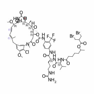 COc1cc2cc(c1Cl)N(C)C(=O)C[C@H](OC(=O)Nc1ccc(NC(=O)[C@H](CCCNC(N)=O)NC(=O)[C@@H](NC(=O)CCCCC(C)OC(=O)C(CBr)CBr)C(C)C)cc1C(F)(F)F)[C@]1(C)O[C@H]1[C@H](C)[C@@H]1C[C@@](O)(NC(=O)O1)[C@H](OC)/C=C/C=C(\C)C2